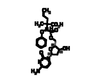 C=CCC(C)(C(=O)O)N(Oc1ccccc1)[PH](=O)OC[C@H]1O[C@@H](n2ccc(N)nc2=O)C[C@@H]1O